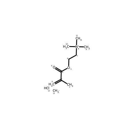 C=C(C)C(=O)OCC[N+](C)(C)C.Cl.[CH3]